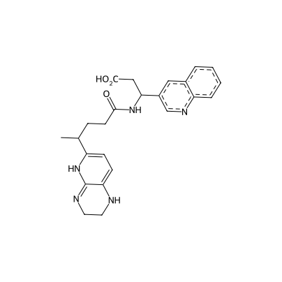 CC(CCC(=O)NC(CC(=O)O)c1cnc2ccccc2c1)C1=CC=C2NCCN=C2N1